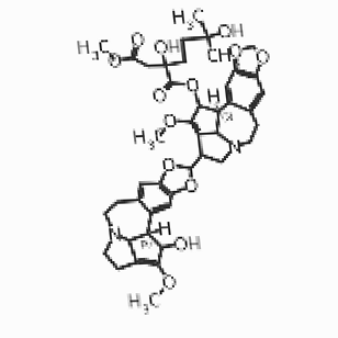 COC(=O)CC(O)(CCC(C)(C)O)C(=O)OC1C(OC)=C2C(C3Oc4cc5c(cc4O3)[C@@H]3C(O)C(OC)=C4CCN(CC5)C43)CN3CCc4cc5c(cc4[C@H]1C23)OCO5